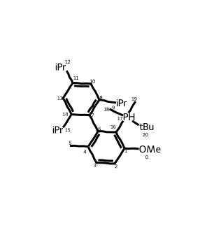 COc1ccc(C)c(-c2c(C(C)C)cc(C(C)C)cc2C(C)C)c1[PH](C)(C)C(C)(C)C